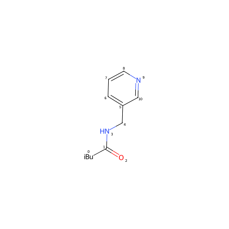 CCC(C)C(=O)NCc1cccnc1